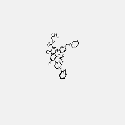 CCOC(=O)c1cn(-c2cccc(CN3CCCCC3)c2)c2c(OC(F)(F)F)c(N3CCN(c4ccccn4)CC3)c(F)cc2c1=O